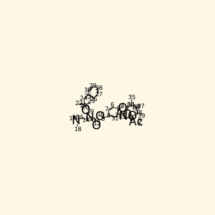 CC(=O)C1OC(Oc2ccc(COC(=O)N(CCN(C)C)COC(C)(C)Cc3ccccc3)cc2[N+](=O)[O-])[C@@H](C)[C@@H](C)C1C